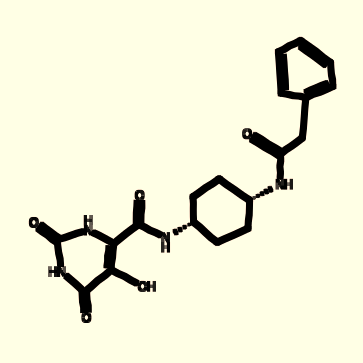 O=C(Cc1ccccc1)N[C@H]1CC[C@@H](NC(=O)c2[nH]c(=O)[nH]c(=O)c2O)CC1